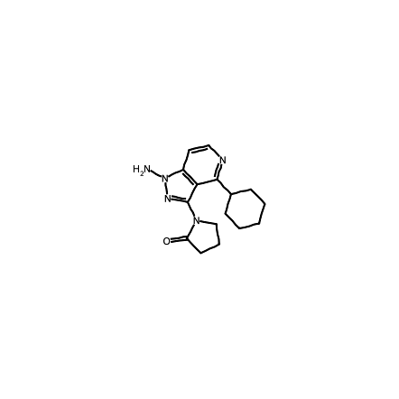 Nn1nc(N2CCCC2=O)c2c(C3CCCCC3)nccc21